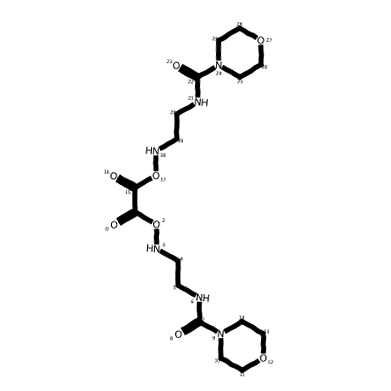 O=C(ONCCNC(=O)N1CCOCC1)C(=O)ONCCNC(=O)N1CCOCC1